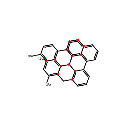 CC(C)(C)c1ccc(-c2ccccc2N(c2cc(C(C)(C)C)cc(C(C)(C)C)c2)c2ccccc2-c2cccc3cccc(C4CCCCC4)c23)cc1